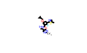 Cc1cnc(-c2cc(OCC3CC3)cc(C(=O)NC(C)c3cnc(C(F)(F)F)nc3)c2F)s1